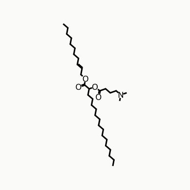 CCCCCCCCC=CCOC(=O)C(CCCCCCCCCCCCCCC)OC(=O)CCCN(C)C